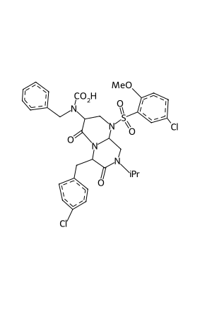 COc1ccc(Cl)cc1S(=O)(=O)N1CC(N(Cc2ccccc2)C(=O)O)C(=O)N2C(Cc3ccc(Cl)cc3)C(=O)N(C(C)C)CC21